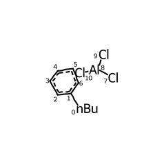 C[CH]CCc1ccccc1.[Cl][Al]([Cl])[Cl]